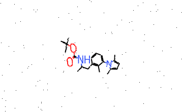 Cc1c(CC(C)NC(=O)OC(C)(C)C)cccc1-n1c(C)ccc1C